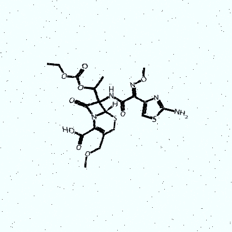 CCOC(=O)OC(C)C1(NC(=O)C(=NOC)c2csc(N)n2)C(=O)N2C(C(=O)O)=C(COC)CS[C@H]21